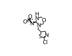 O=[N+]([O-])/N=C1\NCOCN1CC1CN=C(Cl)S1